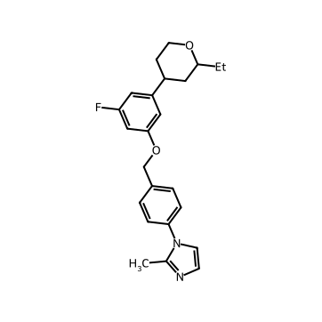 CCC1CC(c2cc(F)cc(OCc3ccc(-n4ccnc4C)cc3)c2)CCO1